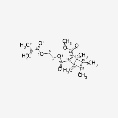 C=C(C)C(=O)OCCOC(=O)C1=C(C(=O)OC)C2(C)C(C)=C(C)C12C